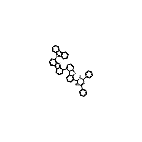 C1=CC2Sc3c(C4NC(c5ccccc5)=NC(c5ccccc5)N4)cccc3C2C(c2cccc3c2oc2c(-n4c5ccccc5c5ccccc54)cccc23)=C1